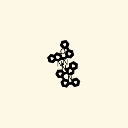 c1ccc2c(c1)ccc1c(-c3cccc4c3oc3ccccc34)nc(-n3c4cccc5c6cccc7c8ccccc8n(c8cc9ccccc9c3c8c54)c67)nc12